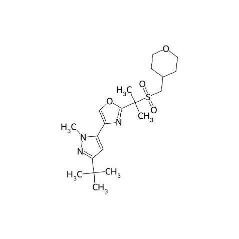 Cn1nc(C(C)(C)C)cc1-c1coc(C(C)(C)S(=O)(=O)CC2CCOCC2)n1